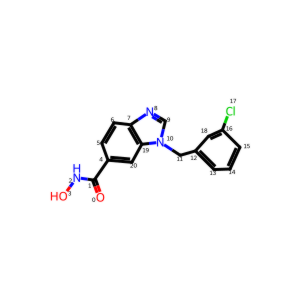 O=C(NO)c1ccc2ncn(Cc3cccc(Cl)c3)c2c1